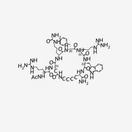 CC(=O)N[C@@H](CCCNC(=N)N)C(=O)N[C@H]1CC(=O)NCCCCC(C(N)=O)NC(=O)[C@H](Cc2c[nH]c3ccccc23)NC(=O)[C@H](CCCNC(=N)N)NC(=O)[C@@H](Cc2ccccc2)NC(=O)C(CCCNC(N)=O)NC1=O